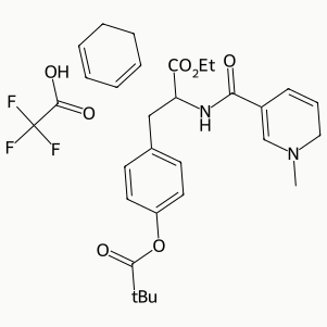 C1=CCCC=C1.CCOC(=O)C(Cc1ccc(OC(=O)C(C)(C)C)cc1)NC(=O)C1=CN(C)CC=C1.O=C(O)C(F)(F)F